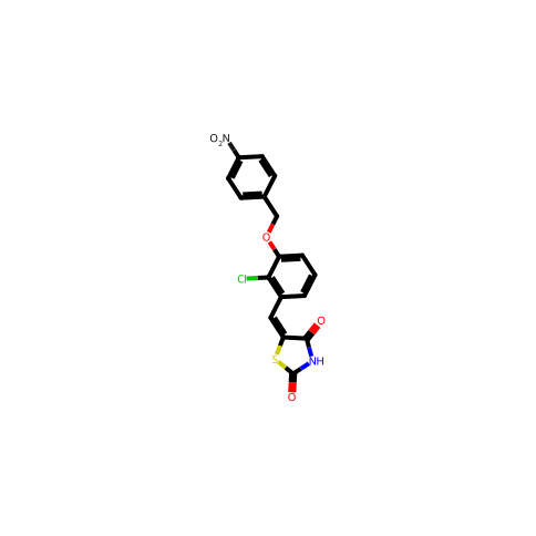 O=C1NC(=O)/C(=C\c2cccc(OCc3ccc([N+](=O)[O-])cc3)c2Cl)S1